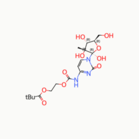 CC(C)(C)C(=O)OCCOC(=O)Nc1ccn([C@]2(O)O[C@H](CO)[C@@H](O)[C@@]2(C)O)c(=O)n1